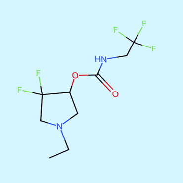 CCN1CC(OC(=O)NCC(F)(F)F)C(F)(F)C1